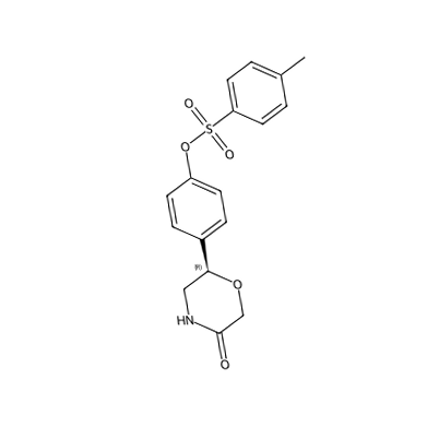 Cc1ccc(S(=O)(=O)Oc2ccc([C@@H]3CNC(=O)CO3)cc2)cc1